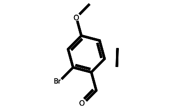 CC.COc1ccc(C=O)c(Br)c1